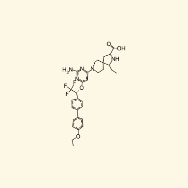 CCOc1ccc(-c2ccc([C@@H](Oc3cc(N4CCC5(CC4)CC(C(=O)O)NC5CC)nc(N)n3)C(F)(F)F)cc2)cc1